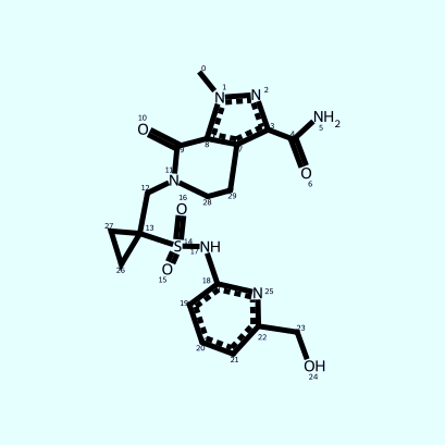 Cn1nc(C(N)=O)c2c1C(=O)N(CC1(S(=O)(=O)Nc3cccc(CO)n3)CC1)CC2